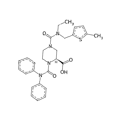 CCN(Cc1ccc(C)s1)C(=O)N1CCN(C(=O)N(c2ccccc2)c2ccccc2)[C@H](C(=O)O)C1